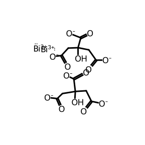 O=C([O-])CC(O)(CC(=O)[O-])C(=O)[O-].O=C([O-])CC(O)(CC(=O)[O-])C(=O)[O-].[Bi+3].[Bi+3]